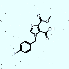 COC(=O)c1ncn(Cc2ccc(F)cc2)c1C(=O)O